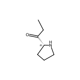 CCC(=O)[C@H]1CCCN1